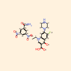 CCn1cc(C(=O)O)c(=O)c2cc(F)c(N3CCNCC3)cc21.NC(=O)c1cc([N+](=O)[O-])cc([N+](=O)[O-])c1